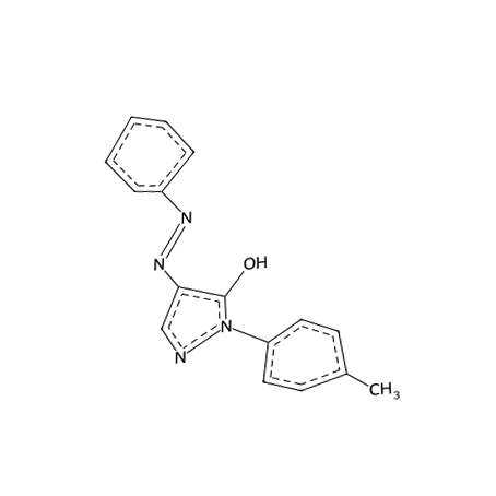 Cc1ccc(-n2ncc(N=Nc3ccccc3)c2O)cc1